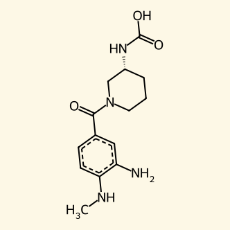 CNc1ccc(C(=O)N2CCC[C@@H](NC(=O)O)C2)cc1N